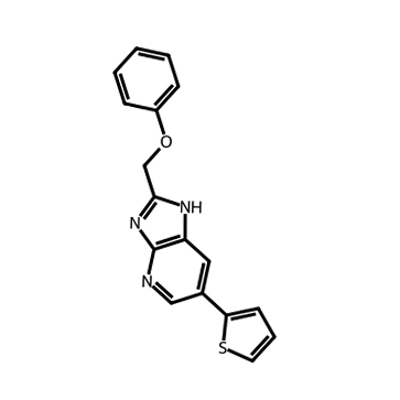 c1ccc(OCc2nc3ncc(-c4cccs4)cc3[nH]2)cc1